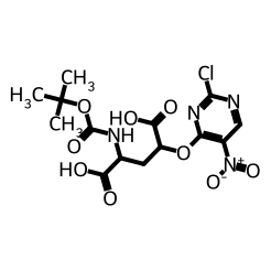 CC(C)(C)OC(=O)NC(CC(Oc1nc(Cl)ncc1[N+](=O)[O-])C(=O)O)C(=O)O